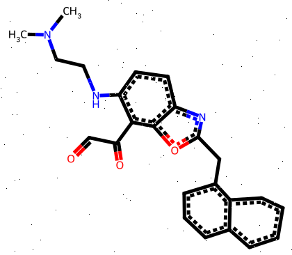 CN(C)CCNc1ccc2nc(Cc3cccc4ccccc34)oc2c1C(=O)C=O